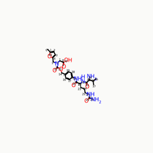 Cc1ccc(CN(CC(=O)O)C(=O)OCc2ccc(NC(=O)[C@H](CCCNC(N)=O)NC(=O)[C@@H](N)C(C)C)cc2)o1